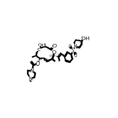 C=C(O[C@H]1/C=C/C(C)[C@@H](/C(C)=C/c2cccc(S(=O)(=O)N3CCC(O)CC3)c2)OC(=O)CC(O)CCC1C)N1CCN(C)CC1